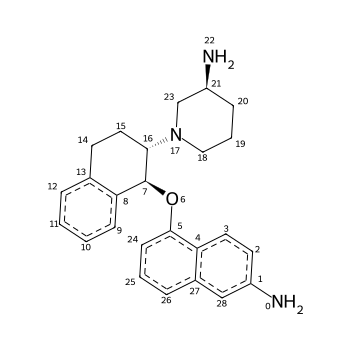 Nc1ccc2c(O[C@H]3c4ccccc4CC[C@@H]3N3CCC[C@H](N)C3)cccc2c1